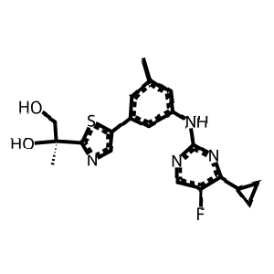 Cc1cc(Nc2ncc(F)c(C3CC3)n2)cc(-c2cnc([C@@](C)(O)CO)s2)c1